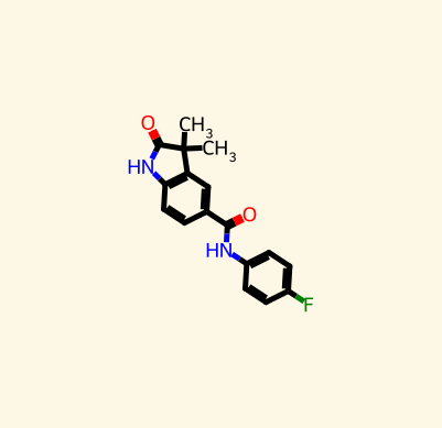 CC1(C)C(=O)Nc2ccc(C(=O)Nc3ccc(F)cc3)cc21